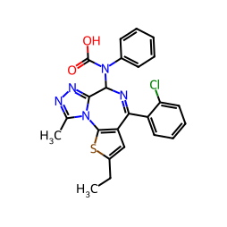 CCc1cc2c(s1)-n1c(C)nnc1C(N(C(=O)O)c1ccccc1)N=C2c1ccccc1Cl